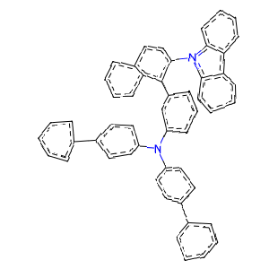 c1ccc(-c2ccc(N(c3ccc(-c4ccccc4)cc3)c3cccc(-c4c(-n5c6ccccc6c6ccccc65)ccc5ccccc45)c3)cc2)cc1